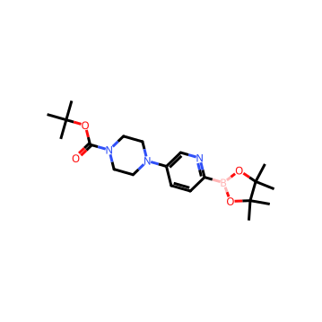 CC(C)(C)OC(=O)N1CCN(c2ccc(B3OC(C)(C)C(C)(C)O3)nc2)CC1